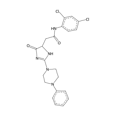 O=C(CC1NC(N2CCN(c3ccccc3)CC2)=NC1=O)Nc1ccc(Cl)cc1Cl